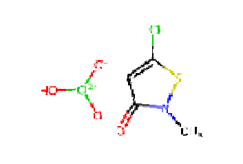 Cn1sc(Cl)cc1=O.[O-][Cl+2]([O-])O